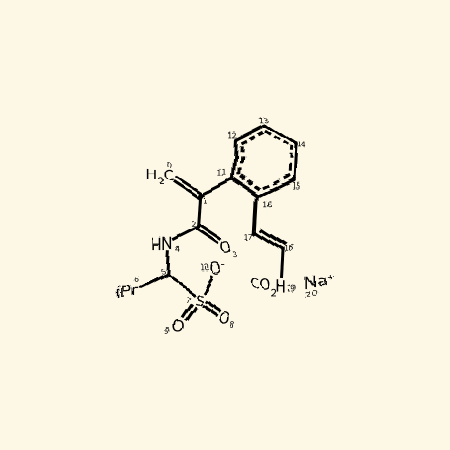 C=C(C(=O)NC(C(C)C)S(=O)(=O)[O-])c1ccccc1C=CC(=O)O.[Na+]